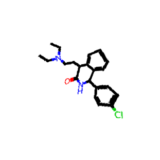 CCN(CC)CCC1C(=O)NC(c2ccc(Cl)cc2)c2ccccc21